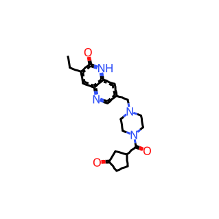 CCc1cc2ncc(CN3CCN(C(=O)C4CCC(=O)C4)CC3)cc2[nH]c1=O